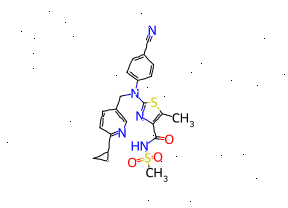 Cc1sc(N(Cc2ccc(C3CC3)nc2)c2ccc(C#N)cc2)nc1C(=O)NS(C)(=O)=O